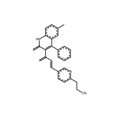 C=C(/C=C/c1ccc(CCC#N)nc1)C1=C(c2ccccc2)c2cc(C)ccc2NC1=C